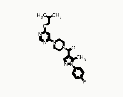 Cc1c(C(=O)N2CCN(c3cc(OCC(C)C)ncn3)CC2)cnn1-c1ccc(F)cc1